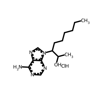 CCCCCCC(C(C)O)n1cnc2c(N)ncnc21.Cl